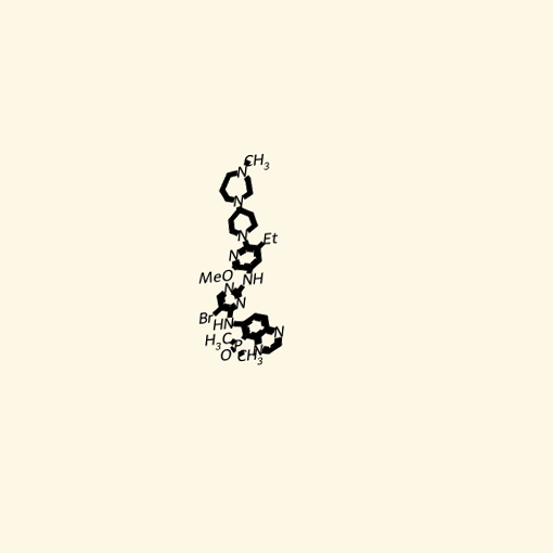 CCc1cc(Nc2ncc(Br)c(Nc3ccc4nccnc4c3P(C)(C)=O)n2)c(OC)nc1N1CCC(N2CCCN(C)CC2)CC1